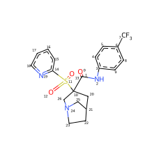 O=C(Nc1ccc(C(F)(F)F)cc1)C1(S(=O)(=O)c2ccccn2)CC2CCN(C2)C1